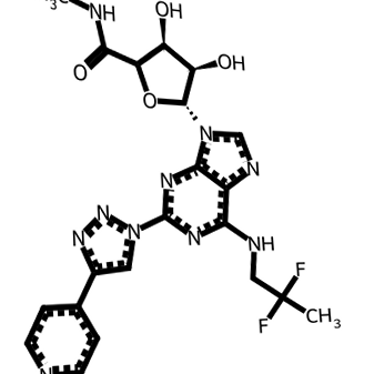 CNC(=O)C1O[C@@H](n2cnc3c(NCC(C)(F)F)nc(-n4cc(-c5ccncc5)nn4)nc32)[C@H](O)[C@@H]1O